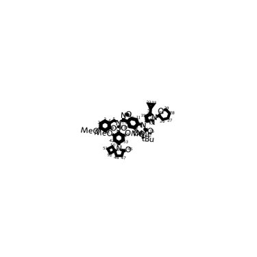 COc1ccc(CN(c2noc3cc(N(C(=O)OC(C)(C)C)c4cc(C5CC5)n(C5CCCCO5)n4)c(OC)cc23)S(=O)(=O)c2c(OC)cc(N3C(=O)CCC34CCC4)cc2OC)cc1